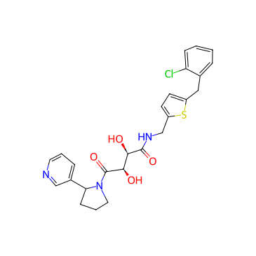 O=C(NCc1ccc(Cc2ccccc2Cl)s1)[C@H](O)[C@@H](O)C(=O)N1CCCC1c1cccnc1